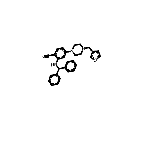 N#Cc1ccc(N2CCN(Cc3ccoc3)CC2)cc1NC(c1ccccc1)c1ccccc1